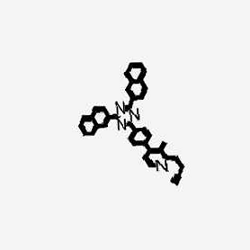 C#C/C=C\c1nccc(-c2ccc(-c3nc(-c4ccc5ccccc5c4)nc(-c4ccc5ccccc5c4)n3)cc2)c1C